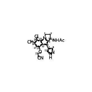 CC(=O)N[C@H]1CCn2c1c(-c1cn[nH]c1)c1c(OCC#N)cc(Cl)c(Cl)c12